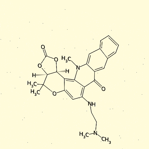 CN(C)CCNc1cc2c(c3c1c(=O)c1cc4ccccc4cc1n3C)[C@@H]1OC(=O)O[C@@H]1C(C)(C)O2